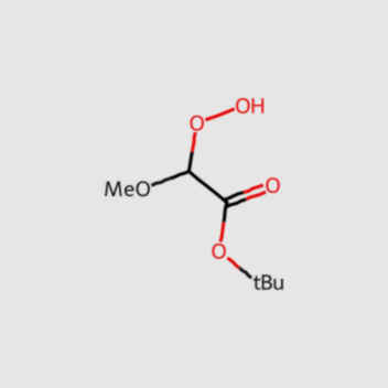 COC(OO)C(=O)OC(C)(C)C